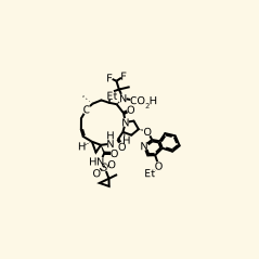 CCOc1cnc(O[C@@H]2C[C@H]3C(=O)N[C@]4(C(=O)NS(=O)(=O)C5(C)CC5)C[C@H]4C=CCC[C@H](C)C[C@@H](CC)[C@H](N(C(=O)O)C(C)(C)C(F)F)C(=O)N3C2)c2ccccc12